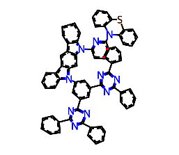 c1ccc(-c2nc(-c3ccccc3)nc(-c3cc(-c4nc(-c5ccccc5)nc(-c5ccccc5)n4)cc(-n4c5ccccc5c5cc6c7ccccc7n(-c7cccc(N8c9ccccc9Sc9ccccc98)n7)c6cc54)c3)n2)cc1